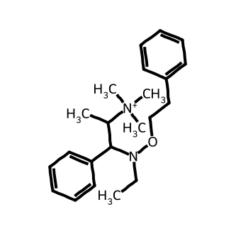 CCN(OCCc1ccccc1)C(c1ccccc1)C(C)[N+](C)(C)C